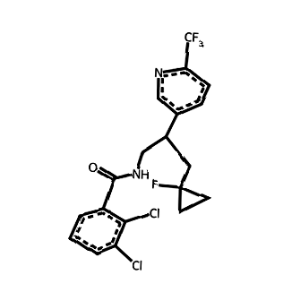 O=C(NCC(CC1(F)CC1)c1ccc(C(F)(F)F)nc1)c1cccc(Cl)c1Cl